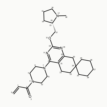 C=CC(=O)N1CCN(c2nc(OC[C@@H]3CCCN3C)nc3c2CCC2(CCCCC2)C3)CC1